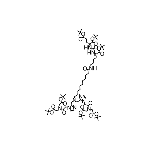 CC(C)(C)OC(=O)CC[C@H](NC(=O)N[C@@H](CCCCNC(=O)CCCCCCCCCCN(Cc1nccn1CC(=O)N(CC(=O)OC(C)(C)C)CC(=O)OC(C)(C)C)Cc1nccn1CC(=O)N(CC(=O)OC(C)(C)C)CC(=O)OC(C)(C)C)C(=O)OC(C)(C)C)C(=O)OC(C)(C)C